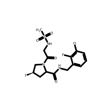 CS(=O)(=O)NCC(=O)N1C[C@H](F)CC1C(=O)NCc1cccc(Cl)c1F